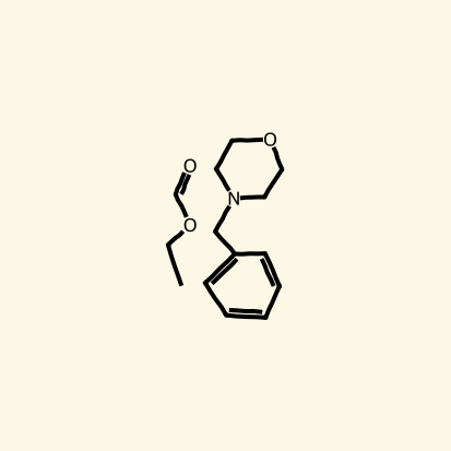 CCOC=O.c1ccc(CN2CCOCC2)cc1